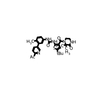 CC(=O)c1ccc(-c2cc(NC(=O)Nc3sc(C(C)(C)C)cc3C(=O)N3CCNC(=O)C3(C)C)ccc2C)cn1